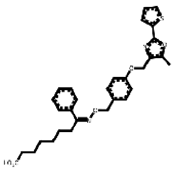 Cc1oc(-c2cccs2)nc1COc1ccc(CO/N=C(/CCCCCCC(=O)O)c2ccccc2)cc1